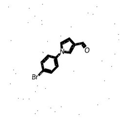 O=Cc1ccn(-c2ccc(Br)cc2)c1